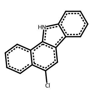 Clc1cc2c3ccccc3[nH]c2c2ccccc12